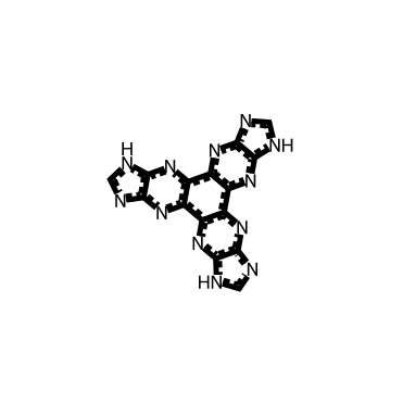 c1nc2nc3c4nc5[nH]cnc5nc4c4nc5[nH]cnc5nc4c3nc2[nH]1